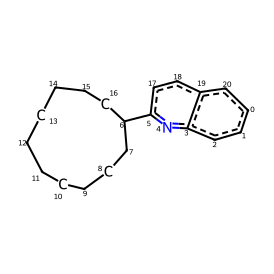 c1ccc2nc(C3CCCCCCCCCC3)ccc2c1